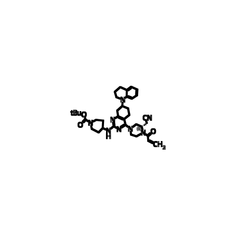 C=CC(=O)N1CCN(c2nc(NC3CCN(C(=O)OC(C)(C)C)CC3)nc3c2CCC(N2CCCc4ccccc42)C3)C[C@@H]1CC#N